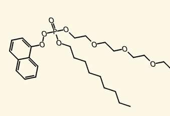 CCCCCCCCCOP(=O)(OCCOCCOCCOCC)OOc1cccc2ccccc12